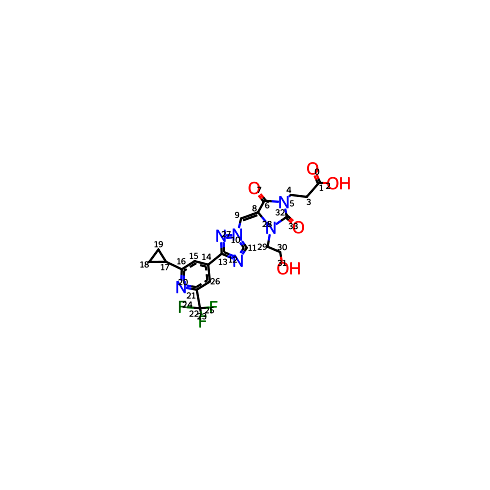 O=C(O)CCN1C(=O)/C(=C/n2cnc(-c3cc(C4CC4)nc(C(F)(F)F)c3)n2)N(CCO)C1=O